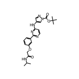 CC(C)NC(=O)COc1cccc(-c2nccc(Nc3cnn(C(=O)OC(C)(C)C)c3)n2)c1